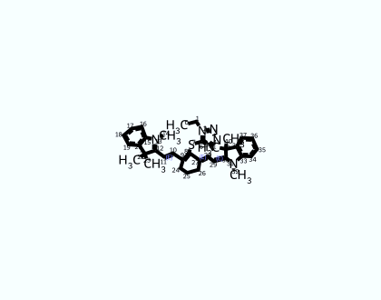 CCn1nnnc1SC1=C(/C=C/C2=[N+](C)c3ccccc3C2(C)C)CCC/C1=C\C=C1\N(C)c2ccccc2C1(C)C